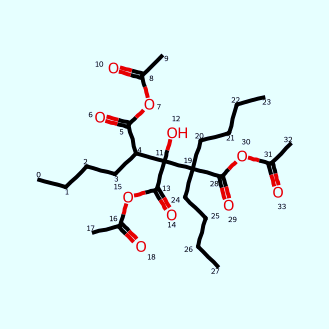 CCCCC(C(=O)OC(C)=O)C(O)(C(=O)OC(C)=O)C(CCCC)(CCCC)C(=O)OC(C)=O